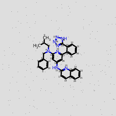 CC(C)CN(Cc1ccccc1)c1cc(Nc2ccc3ccccc3n2)cc(-c2ccccc2-c2nnn[nH]2)n1